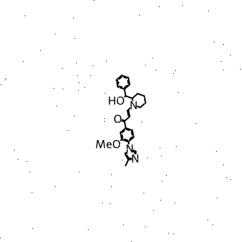 COc1cc(C(=O)/C=C/N2CCCCC2C(O)c2ccccc2)ccc1-n1cnc(C)c1